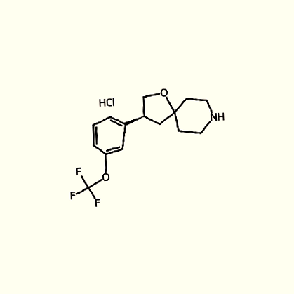 Cl.FC(F)(F)Oc1cccc([C@H]2COC3(CCNCC3)C2)c1